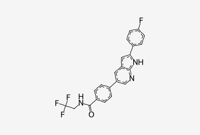 O=C(NCC(F)(F)F)c1ccc(-c2cnc3[nH]c(-c4ccc(F)cc4)cc3c2)cc1